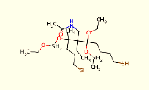 CCO[SiH2]OC(C)(CCCS)C(CC)(CNC(C)=O)C(CCCCS)(OCC)O[SiH2]C